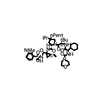 C=C[C@@H]1C[C@]1(NC(=O)[C@@H]1C[C@](CCCCC)(C(C)C)CN1C(=O)[C@@H](NC(=O)[C@@H](NC(=O)N1CCOCC1)C1CCCCC1)C(C)(C)C)C(=O)NS(=O)(=O)c1ccccc1NC